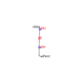 CCCCC/C=C\C/C=C\CCCCCCCCN(CCO)CCCCCCCCCCOC(=O)CCCCCCCCCN(CCO)CCCCCCCCCCCC